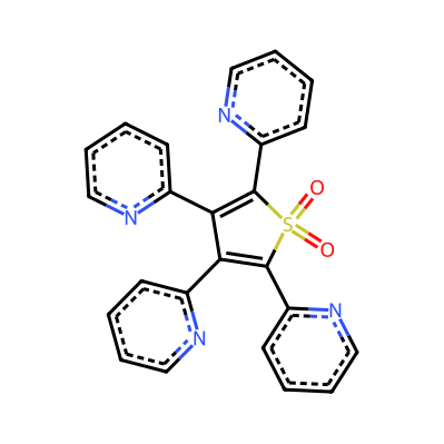 O=S1(=O)C(c2ccccn2)=C(c2ccccn2)C(c2ccccn2)=C1c1ccccn1